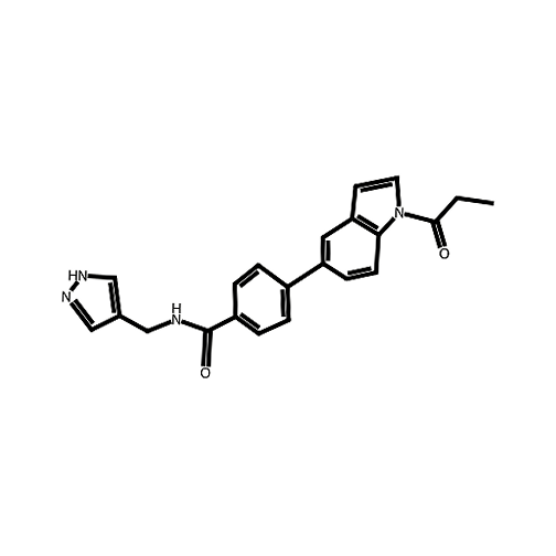 CCC(=O)n1ccc2cc(-c3ccc(C(=O)NCc4cn[nH]c4)cc3)ccc21